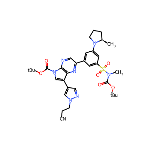 C[C@@H]1CCCN1c1cc(-c2cnc3c(n2)c(-c2cnn(CCC#N)c2)cn3C(=O)OC(C)(C)C)cc(S(=O)(=O)N(C)C(=O)OC(C)(C)C)c1